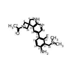 CC(=O)N1CC2(CNc3ncc(-c4ccc(N)c(CN(C)C)c4F)cc32)C1